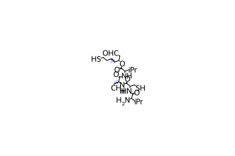 C/C=C(\NC(=O)C(CS)NC(=O)C(N)C(C)C)C(=O)NC(C(=O)OC(/C=C/CCS)CC=O)C(C)C